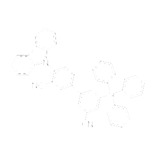 N#Cc1cc(-c2ccc(-n3c4ccccc4c4ccccc43)c(C#N)c2)cc([Si](c2ccccc2)(c2ccccc2)c2ccccc2)c1